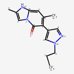 Cc1cn2c(=O)c(-c3cnn(CCC(F)(F)F)c3)c(C(F)(F)F)cc2[nH]1